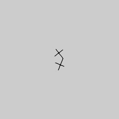 [2H]C([2H])(O)CC([2H])([2H])C(C)=O